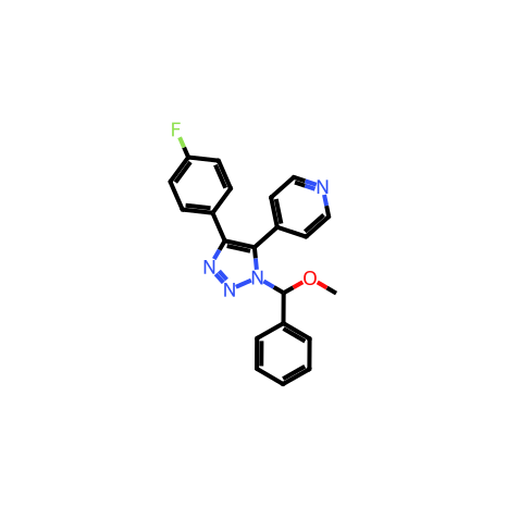 COC(c1ccccc1)n1nnc(-c2ccc(F)cc2)c1-c1ccncc1